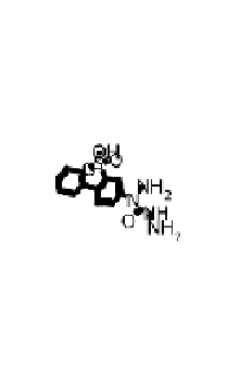 NNC(=O)N(N)c1ccc(-c2ccccc2)c(S(=O)(=O)O)c1